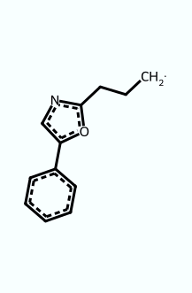 [CH2]CCc1ncc(-c2ccccc2)o1